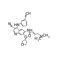 C#Cc1cccc(Nc2c(C#N)cnc3cc(O[C@H]4CCOC4)c(NC(=O)/C=C/CN(C)C)cc23)c1